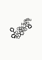 CC(C)(C)OC(=O)NC(C(=O)N[C@@H]1C(=O)N2C(C(=O)OC(c3ccccc3)c3ccccc3)=C(CO)CS[C@@H]12)c1ccccc1